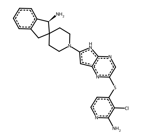 Nc1nccc(Sc2cnc3[nH]c(N4CCC5(CC4)Cc4ccccc4[C@H]5N)cc3n2)c1Cl